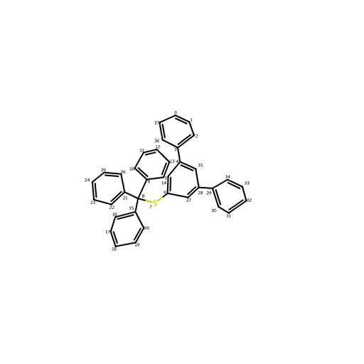 c1ccc(-c2cc(SC(c3ccccc3)(c3ccccc3)c3ccccc3)cc(-c3ccccc3)c2)cc1